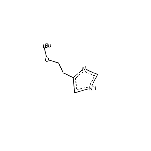 CC(C)(C)OCCc1c[nH]cn1